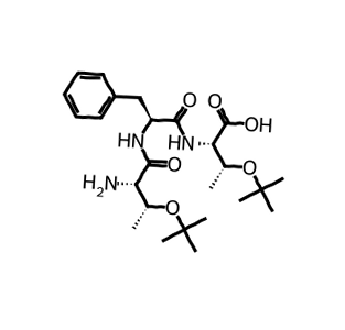 C[C@@H](OC(C)(C)C)[C@H](N)C(=O)N[C@@H](Cc1ccccc1)C(=O)N[C@H](C(=O)O)[C@@H](C)OC(C)(C)C